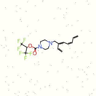 C=C/C=C\C=C(/C=C)CN1CCN(C(=O)OC(C(F)(F)F)C(F)(F)F)CC1